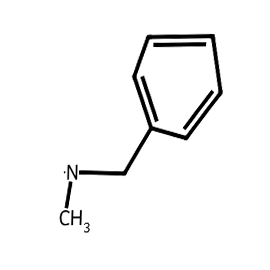 C[N]Cc1ccccc1